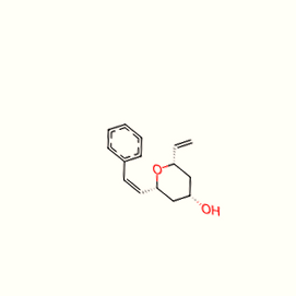 C=C[C@@H]1C[C@H](O)C[C@H](/C=C\c2ccccc2)O1